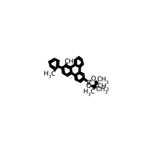 Cc1ccccc1-c1ccc2c3ccc(B4OC(C)(C)C(C)(C)O4)cc3c3ccccc3c2c1C